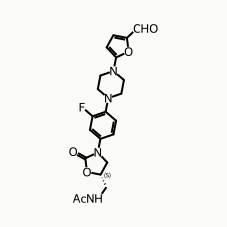 CC(=O)NC[C@H]1CN(c2ccc(N3CCN(c4ccc(C=O)o4)CC3)c(F)c2)C(=O)O1